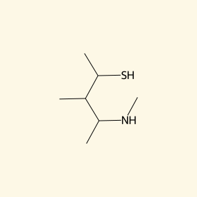 CNC(C)C(C)C(C)S